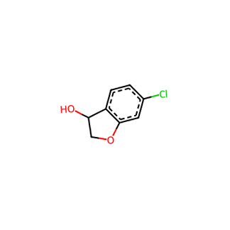 OC1COc2cc(Cl)ccc21